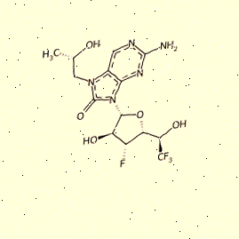 C[C@H](O)Cn1c(=O)n([C@@H]2O[C@H]([C@@H](O)C(F)(F)F)[C@H](F)[C@H]2O)c2nc(N)ncc21